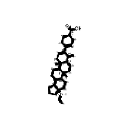 CCNC12CCCC1C1CCC3C4(C)CC=C(C5=CCC(C(=O)O)CC5)C(C)C4CCC3(C)C1CC2